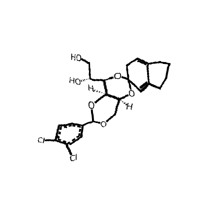 OC[C@@H](O)[C@H]1OC2(C=C3CCCCC3=CC2)O[C@H]2COC(c3ccc(Cl)c(Cl)c3)O[C@@H]12